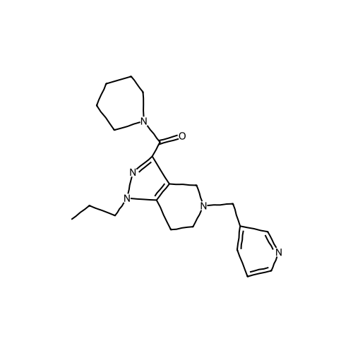 CCCn1nc(C(=O)N2CCCCC2)c2c1CCN(Cc1cccnc1)C2